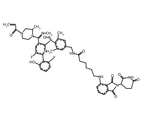 C=CC(=O)N1CCN(/C(=N/C)c2cc(F)c(-c3c(O)cccc3F)nc2N(C=O)c2c(C)cc(CNC(=O)CCCCCNc3cccc4c3C(=O)N(C3CCC(=O)NC3=O)C4=O)cc2C)C(C)C1